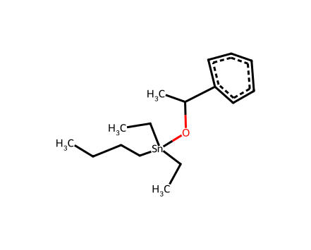 CCC[CH2][Sn]([CH2]C)([CH2]C)[O]C(C)c1ccccc1